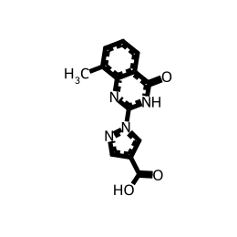 Cc1cccc2c(=O)[nH]c(-n3cc(C(=O)O)cn3)nc12